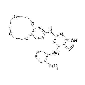 Nc1ccccc1Nc1nc(Nc2ccc3c(c2)OCCOCCOCCO3)nc2[nH]ccc12